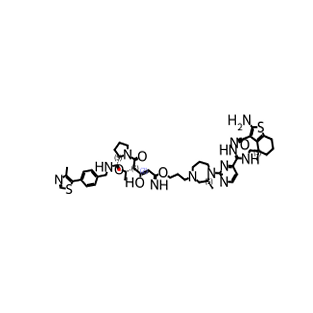 Cc1ncsc1-c1ccc(CNC(=O)[C@@H]2CCCN2C(=O)[C@H](/C(O)=C/C(=N)OCCCN2CCCN(c3nccc(C(=N)NC(=O)[C@@]4(C)CCCc5sc(N)c(C#N)c54)n3)[C@@H](C)C2)C(C)C)cc1